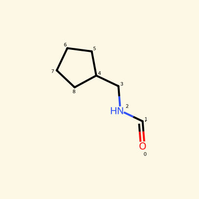 O=[C]NCC1CCCC1